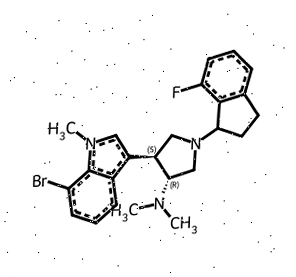 CN(C)[C@H]1CN(C2CCc3cccc(F)c32)C[C@@H]1c1cn(C)c2c(Br)cccc12